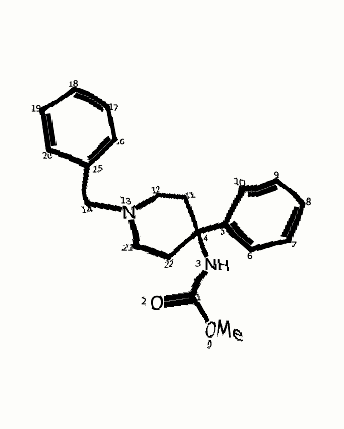 COC(=O)NC1(c2ccccc2)CCN(Cc2ccccc2)CC1